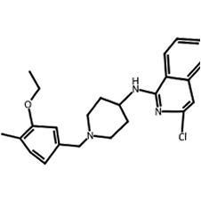 CCOc1cc(CN2CCC(Nc3nc(Cl)cc4ccccc34)CC2)ccc1F